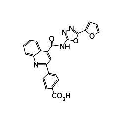 O=C(O)c1ccc(-c2cc(C(=O)Nc3nnc(-c4ccco4)o3)c3ccccc3n2)cc1